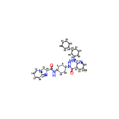 O=C(NC1CCC(NC(=O)C2CN3C=CC=CC3=N2)CC1)c1cc(F)cnc1Nc1cccc(-c2ccccc2)c1